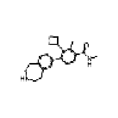 CNC(=O)c1ccc(-c2ccc3c(c2)CCNCC3)c(C2CCC2)c1C